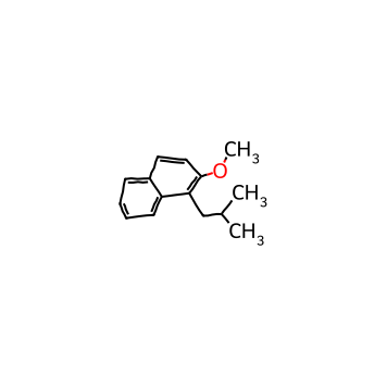 COc1ccc2ccccc2c1CC(C)C